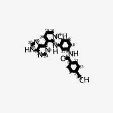 C#Cc1ccc(C(=O)Nc2ccc(C)c(Nc3ncccc3-c3ncnc4[nH]cnc34)c2)cc1